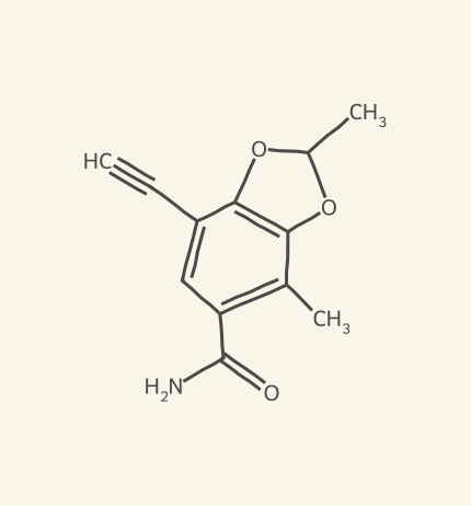 C#Cc1cc(C(N)=O)c(C)c2c1OC(C)O2